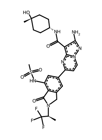 C[C@H](N1Cc2cc(-c3ccn4nc(N)c(C(=O)N[C@H]5CC[C@@](C)(O)CC5)c4n3)cc(NS(C)(=O)=O)c2C1=O)C(F)(F)F